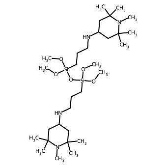 CO[Si](CCCNC1CC(C)(C)N(C)C(C)(C)C1)(OC)O[Si](CCCNC1CC(C)(C)N(C)C(C)(C)C1)(OC)OC